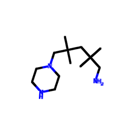 CC(C)(CN)CC(C)(C)CN1CCNCC1